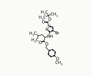 COc1ccc(COC(=O)C(CC(C)C)Nc2nn(C(=O)OC(C)(C)C)cc2Br)cc1